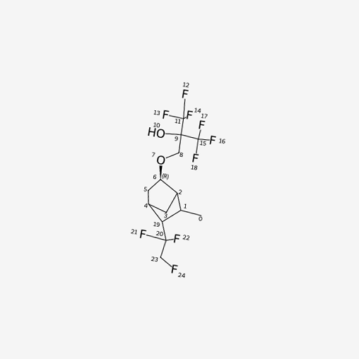 CC1C2CC(C[C@H]2OCC(O)(C(F)(F)F)C(F)(F)F)C1C(F)(F)CF